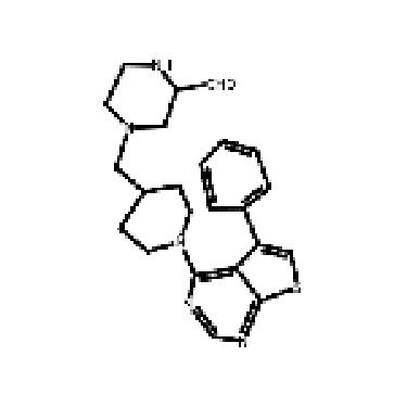 O=CC1CN(CC2CCN(c3ncnc4scc(-c5ccccc5)c34)CC2)CCN1